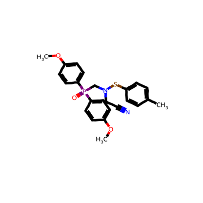 COc1ccc(P(=O)(CN(CC#N)Sc2ccc(C)cc2)c2ccc(OC)cc2)cc1